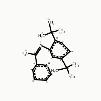 CC(=Nc1cc(C(C)(C)C)ccc1C(C)(C)C)c1ccccn1